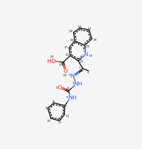 CC(=NNC(=O)Nc1ccccc1)c1nc2ccccc2cc1C(=O)O